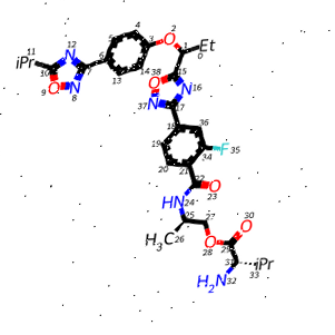 CCC(Oc1ccc(-c2noc(C(C)C)n2)cc1)c1nc(-c2ccc(C(=O)N[C@H](C)COC(=O)[C@@H](N)C(C)C)c(F)c2)no1